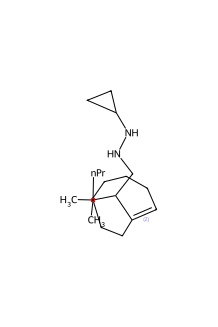 CCCC(C)(C)C(CNNC1CC1)/C1=C\CCCCCC1